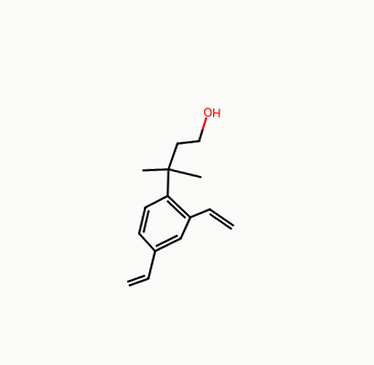 C=Cc1ccc(C(C)(C)CCO)c(C=C)c1